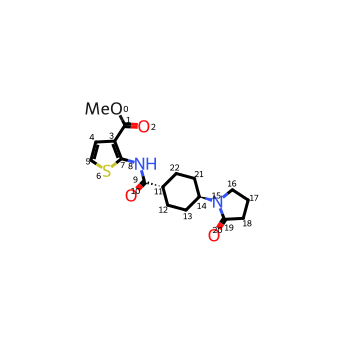 COC(=O)c1ccsc1NC(=O)[C@H]1CC[C@H](N2CCCC2=O)CC1